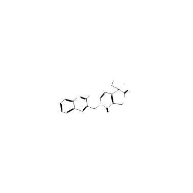 CC[C@@]1(O)C(=O)OCc2c1ccn(Cc1cc3ccccc3nc1Cl)c2=O